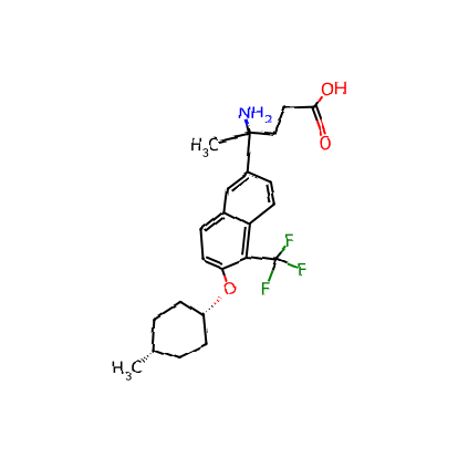 CC(N)(CCC(=O)O)c1ccc2c(C(F)(F)F)c(O[C@H]3CC[C@@H](C)CC3)ccc2c1